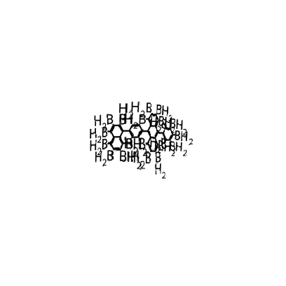 Bc1c(B)c(B)c(-c2c3c(B)c(B)c(B)c(B)c3c(-c3ccc(-c4c(B)c(B)c(B)c5c(B)c(B)c(B)c(B)c45)cc3)c3c(B)c(B)c(B)c(B)c23)c(B)c1B